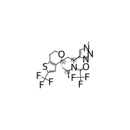 C[C@H]1C[C@@]2(C[C@@H](c3cn(C)nn3)N1C(=O)C(F)(F)F)OCCc1sc(C(F)(F)F)cc12